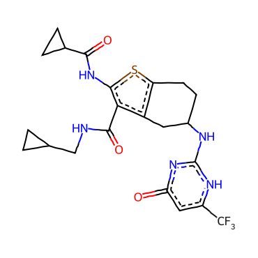 O=C(NCC1CC1)c1c(NC(=O)C2CC2)sc2c1CC(Nc1nc(=O)cc(C(F)(F)F)[nH]1)CC2